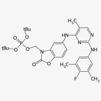 Cc1cnc(Nc2cc(C)c(F)c(C)c2)nc1Nc1ccc2oc(=O)n(COP(=O)(OC(C)(C)C)OC(C)(C)C)c2c1